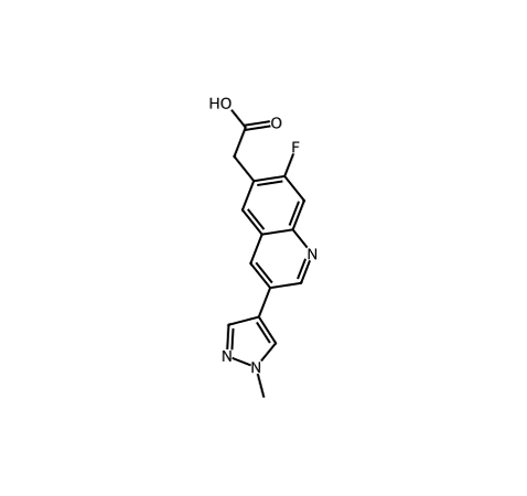 Cn1cc(-c2cnc3cc(F)c(CC(=O)O)cc3c2)cn1